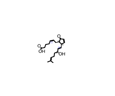 CC(C)=CCC[C@@H](O)/C=C/[C@@H]1C=CC(=O)[C@@H]1C/C=C\CCCC(=O)O